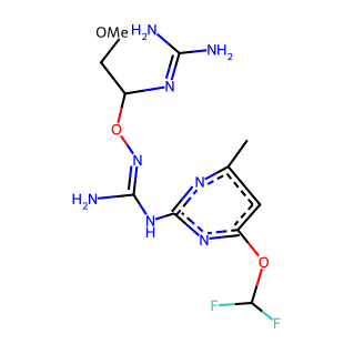 COCC(N=C(N)N)ON=C(N)Nc1nc(C)cc(OC(F)F)n1